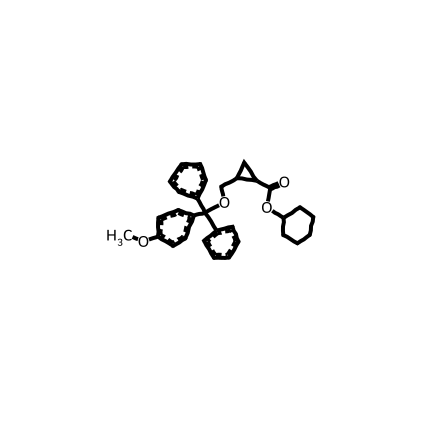 COc1ccc(C(OCC2CC2C(=O)OC2CCCCC2)(c2ccccc2)c2ccccc2)cc1